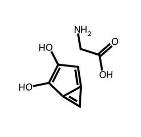 NCC(=O)O.Oc1cc2cc-2c1O